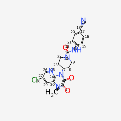 Cn1c(=O)c(=O)n(C2CCN(C(=O)Nc3ccc(C#N)cc3)CC2)c2ncc(Cl)cc21